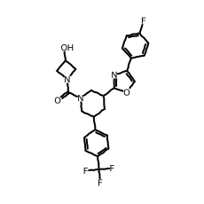 O=C(N1CC(O)C1)N1CC(c2ccc(C(F)(F)F)cc2)CC(c2nc(-c3ccc(F)cc3)co2)C1